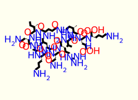 CC[C@H](C)[C@H](NC(=O)[C@@H](NC(=O)[C@H](CCCNC(=N)N)NC(=O)[C@H](CC(N)=O)NC(=O)[C@H](CC(C)C)NC(=O)[C@H](CCCCN)NC(=O)CNC(=O)[C@H](CC(N)=O)NC(=O)[C@@H](NC(=O)[C@@H](N)CCC(N)=O)[C@@H](C)CC)C(C)C)C(=O)N[C@@H](CCC(=O)O)C(=O)N[C@@H](CCCCN)C(=O)O